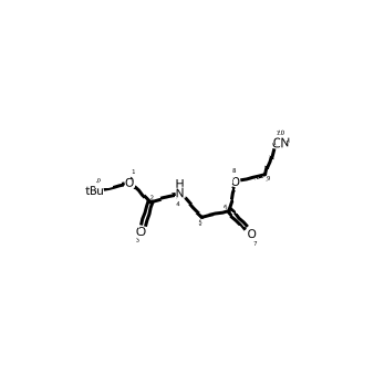 CC(C)(C)OC(=O)NCC(=O)OCC#N